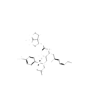 CC/C=C\C=C(/C)C[C@H](NC(=O)O[C@H]1CO[C@H]2OCCC21)[C@H](O)CN(CC(C)C)S(=N)(=O)c1ccc(N)cc1